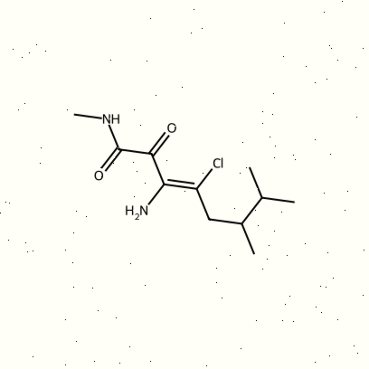 CNC(=O)C(=O)/C(N)=C(\Cl)CC(C)C(C)C